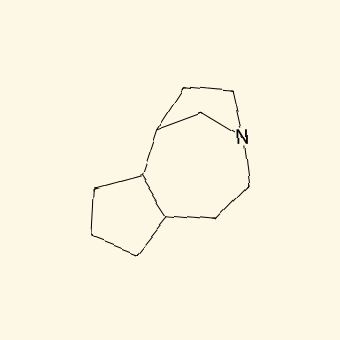 C1CC2CCN3CCC(C3)C2C1